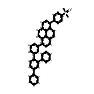 CP(C)(=O)c1ccc(-c2ccc3ccc4c(-c5cccc(-c6ccc(-c7ccccc7)cc6-c6ccccc6)c5)ccc5ccc2c3c54)cc1